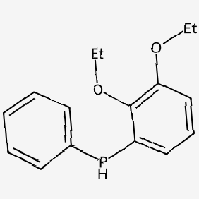 CCOc1cccc(Pc2ccccc2)c1OCC